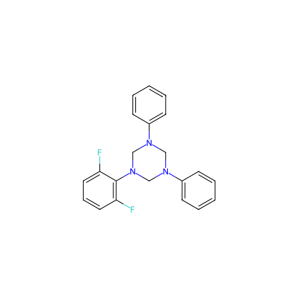 Fc1cccc(F)c1N1CN(c2ccccc2)CN(c2ccccc2)C1